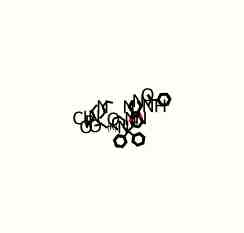 CCN1CCN(P(=O)(Cl)OCC[C@@H]2CN(C(c3ccccc3)(c3ccccc3)c3ccccc3)C(n3cnc4c(NC(=O)c5ccccc5)ncnc43)CO2)CC1